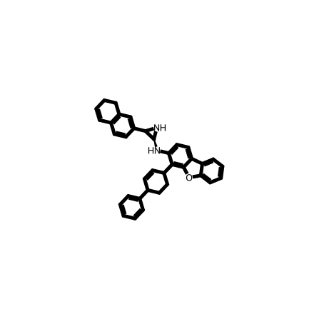 C1=Cc2ccc(C3N[C@H]3Nc3ccc4c(oc5ccccc54)c3C3C=CC(c4ccccc4)CC3)cc2CC1